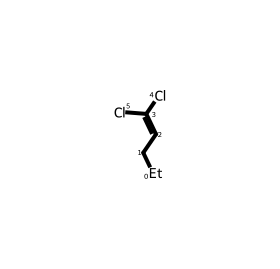 CCCC=C(Cl)Cl